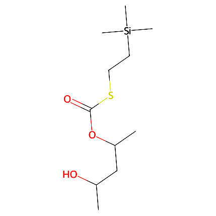 CC(O)CC(C)OC(=O)SCC[Si](C)(C)C